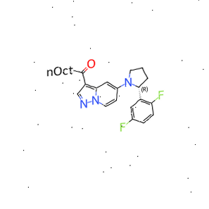 CCCCCCCCC(=O)c1cnn2ccc(N3CCC[C@@H]3c3cc(F)ccc3F)cc12